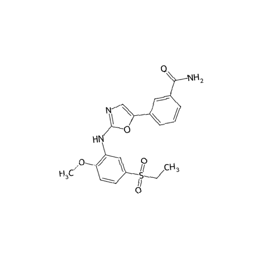 CCS(=O)(=O)c1ccc(OC)c(Nc2ncc(-c3cccc(C(N)=O)c3)o2)c1